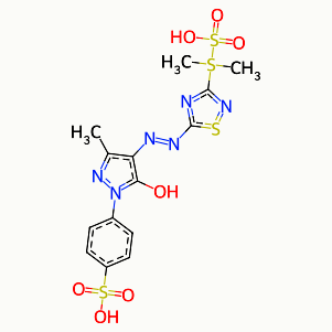 Cc1nn(-c2ccc(S(=O)(=O)O)cc2)c(O)c1N=Nc1nc(S(C)(C)S(=O)(=O)O)ns1